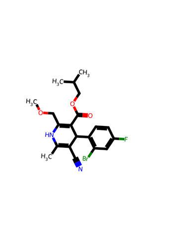 COCC1=C(C(=O)OCC(C)C)C(c2ccc(F)cc2Br)C(C#N)=C(C)N1